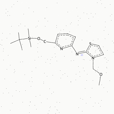 COCn1ccs/c1=N\c1cccc(CO[Si](C)(C)C(C)(C)C)n1